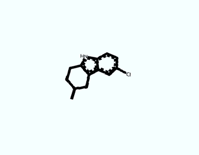 CC1CCc2[nH]c3ccc(Cl)cc3c2C1